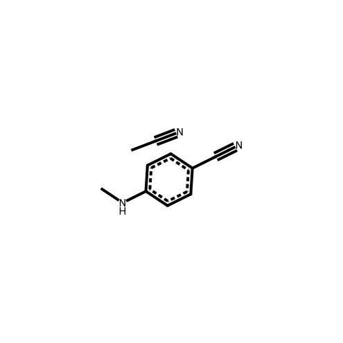 CC#N.CNc1ccc(C#N)cc1